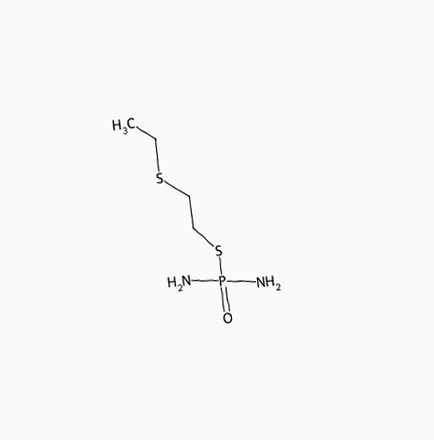 CCSCCSP(N)(N)=O